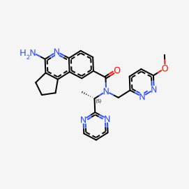 COc1ccc(CN(C(=O)c2ccc3nc(N)c4c(c3c2)CCC4)[C@@H](C)c2ncccn2)nn1